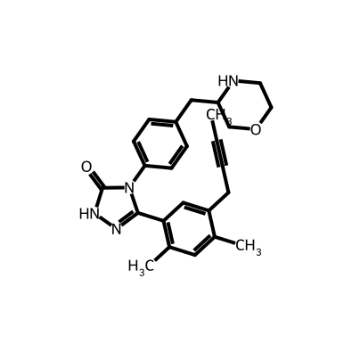 CC#CCc1cc(-c2n[nH]c(=O)n2-c2ccc(CC3COCCN3)cc2)c(C)cc1C